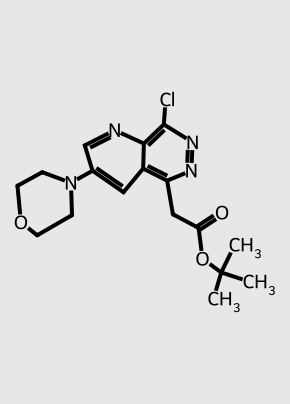 CC(C)(C)OC(=O)Cc1nnc(Cl)c2ncc(N3CCOCC3)cc12